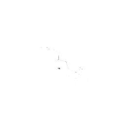 C=C.CC(=O)NCCCC[C@H](N)C(=O)O